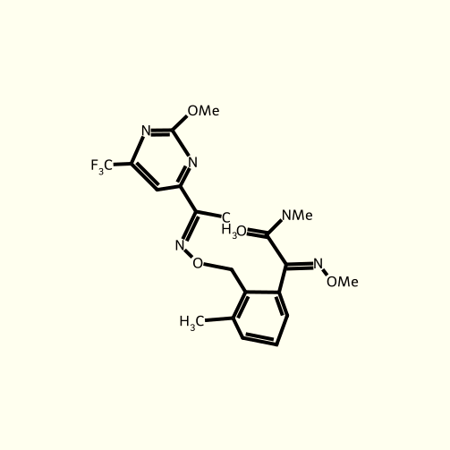 CNC(=O)/C(=N/OC)c1cccc(C)c1CO/N=C(\C)c1cc(C(F)(F)F)nc(OC)n1